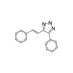 C(=Cc1ccccc1)C1=N[N]N=C1c1ccccc1